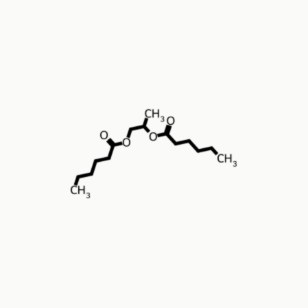 CCCCCC(=O)OCC(C)OC(=O)CCCCC